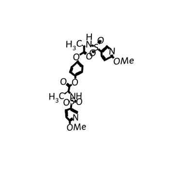 COc1ccc(S(=O)(=O)N[C@@H](C)C(=O)Oc2ccc(OC(=O)[C@H](C)NS(=O)(=O)c3ccc(OC)nc3)cc2)cn1